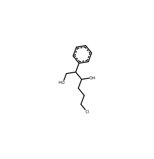 OCC(c1ccccc1)C(O)CCCCl